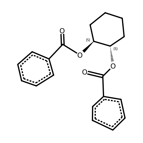 O=C(O[C@H]1CCCC[C@@H]1OC(=O)c1ccccc1)c1ccccc1